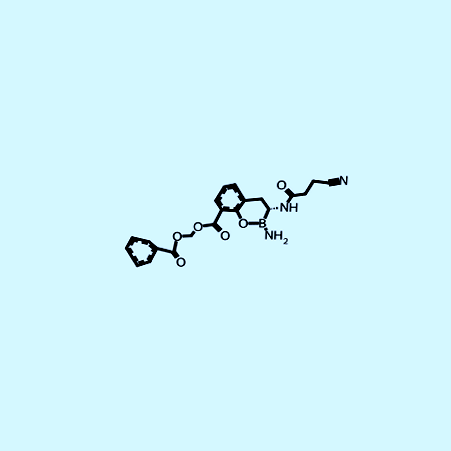 N#CCCC(=O)N[C@H]1Cc2cccc(C(=O)OCOC(=O)c3ccccc3)c2OB1N